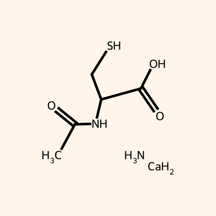 CC(=O)NC(CS)C(=O)O.N.[CaH2]